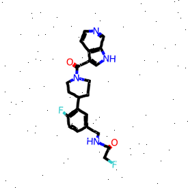 O=C(CF)NCc1ccc(F)c(C2CCN(C(=O)c3c[nH]c4cnccc34)CC2)c1